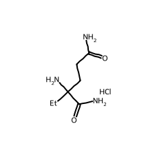 CCC(N)(CCC(N)=O)C(N)=O.Cl